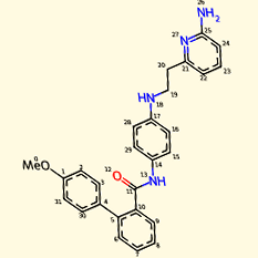 COc1ccc(-c2ccccc2C(=O)Nc2ccc(NCCc3cccc(N)n3)cc2)cc1